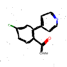 COC(=O)c1ccc(Cl)cc1-c1ccncc1